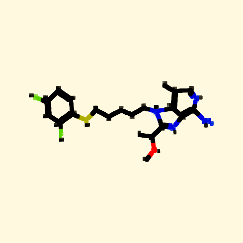 COC(C)c1nc2c(N)ncc(C)c2n1CCCCCSc1ccc(F)cc1F